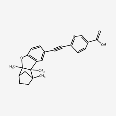 CC12CCC(C1)C1(C)Oc3ccc(C#Cc4ccc(C(=O)O)cn4)cc3C21C